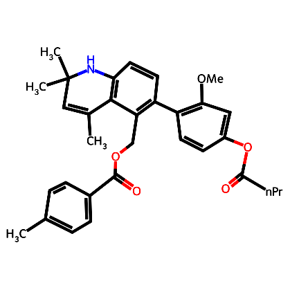 CCCC(=O)Oc1ccc(-c2ccc3c(c2COC(=O)c2ccc(C)cc2)C(C)=CC(C)(C)N3)c(OC)c1